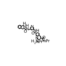 CCCN(CCC)C(=O)C1=CC2=CCC(C(=O)Nc3cncc(CNC(=O)C4Cc5ccccc5CN4)c3)C=C2N=C(N)C1